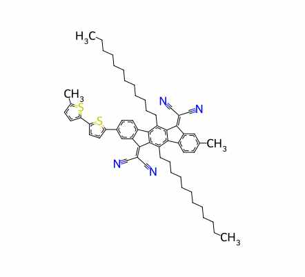 CCCCCCCCCCCCc1c2c(c(CCCCCCCCCCCC)c3c1-c1ccc(C)cc1C3=C(C#N)C#N)-c1ccc(-c3ccc(-c4ccc(C)s4)s3)cc1C2=C(C#N)C#N